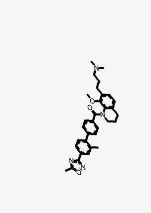 COc1c(CCCN(C)C)ccc2c1N(C(=O)c1ccc(-c3ccc(-c4noc(C)n4)cc3C)cc1)CCC2